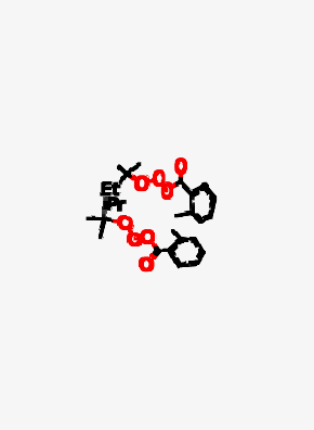 CCC(C)(C)OOOC(=O)c1ccccc1C.Cc1ccccc1C(=O)OOOC(C)(C)C(C)C